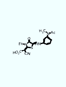 CCn1c(=C(C#N)C(=O)O)sc(=CNc2cccc(N(C)C(C)=O)c2)c1=O